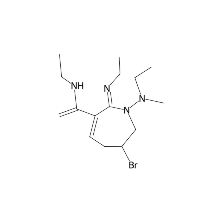 C=C(NCC)C1=CCC(Br)CN(N(C)CC)/C1=N\CC